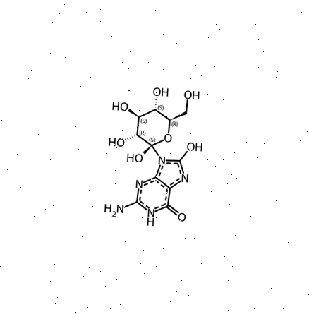 Nc1nc2c(nc(O)n2[C@@]2(O)O[C@H](CO)[C@@H](O)[C@H](O)[C@H]2O)c(=O)[nH]1